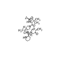 C=CC(=O)[C@H](C[C@@H]1CCCNC1=O)NC(=O)[C@@H]1[C@@H]2[C@H](CN1C(=O)[C@@H](NC(=O)C1CC1)C(C)(C)C)C2(C)C